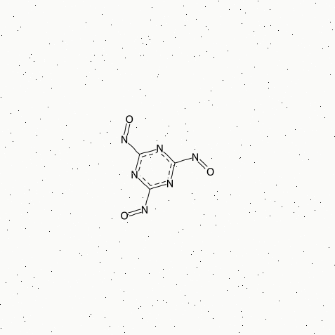 O=Nc1nc(N=O)nc(N=O)n1